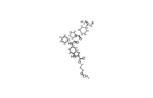 COCCCOC(=O)c1cc2cc(NC(=O)[C@@H]3[C@H](c4ccccc4)CCN3C(=O)[C@H]3CC[C@H](C(N)CF)CC3)ccc2[nH]1